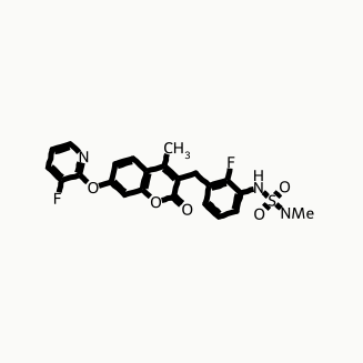 CNS(=O)(=O)Nc1cccc(Cc2c(C)c3ccc(Oc4ncccc4F)cc3oc2=O)c1F